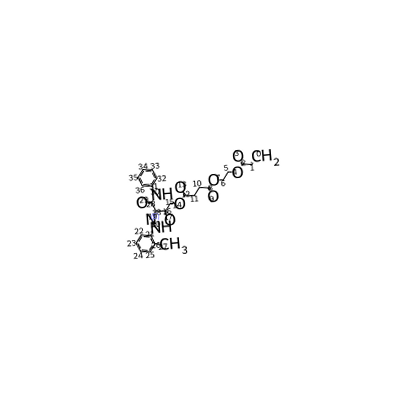 C=CC(=O)OCCOC(=O)CCC(=O)OCC(=O)/C(=N\Nc1ccccc1C)C(=O)Nc1ccccc1